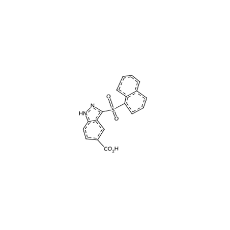 O=C(O)c1ccc2[nH]nc(S(=O)(=O)c3cccc4ccccc34)c2c1